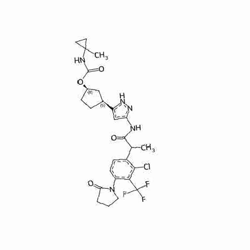 CC(C(=O)Nc1cc([C@H]2CC[C@@H](OC(=O)NC3(C)CC3)C2)[nH]n1)c1ccc(N2CCCC2=O)c(C(F)(F)F)c1Cl